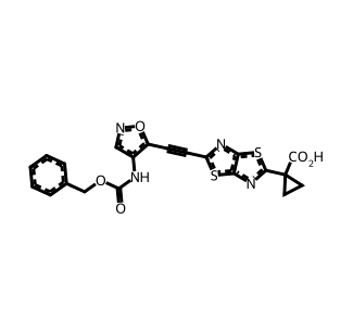 O=C(Nc1cnoc1C#Cc1nc2sc(C3(C(=O)O)CC3)nc2s1)OCc1ccccc1